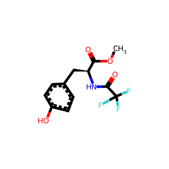 COC(=O)[C@H](Cc1ccc(O)cc1)NC(=O)C(F)(F)F